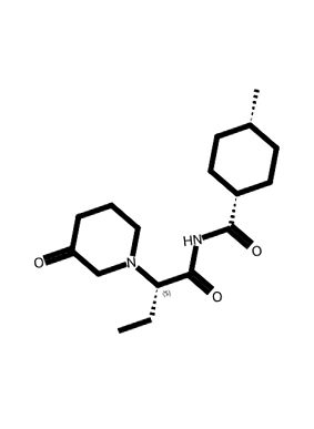 CC[C@@H](C(=O)NC(=O)[C@H]1CC[C@@H](C)CC1)N1CCCC(=O)C1